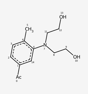 CC(=O)c1ccc(C)c(N(CCO)CCO)c1